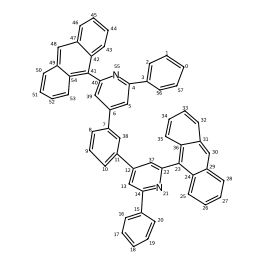 c1ccc(-c2cc(-c3cccc(-c4cc(-c5ccccc5)nc(-c5c6ccccc6cc6ccccc56)c4)c3)cc(-c3c4ccccc4cc4ccccc34)n2)cc1